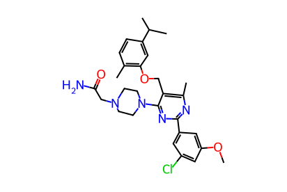 COc1cc(Cl)cc(-c2nc(C)c(COc3cc(C(C)C)ccc3C)c(N3CCN(CC(N)=O)CC3)n2)c1